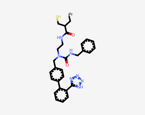 CC(C)CC(CS)C(=O)NCCN(Cc1ccc(-c2ccccc2-c2nnn[nH]2)cc1)C(=O)NCc1ccccc1